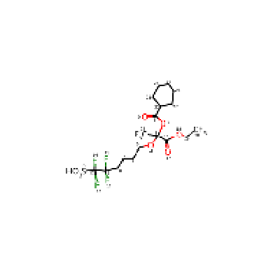 O=C(OC(OCCCCC(F)(F)C(F)(F)S(=O)(=O)O)(C(=O)OCC(F)(F)F)C(F)(F)F)C1CCCCC1